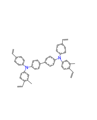 C=Cc1ccc(N(c2ccc(-c3ccc(N(c4ccc(C=C)cc4)c4ccc(C=C)c(C)c4)cc3)cc2)c2ccc(C=C)c(C)c2)cc1